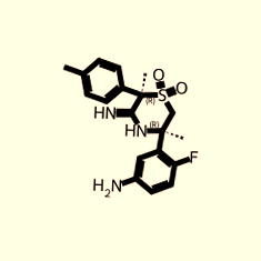 Cc1ccc([C@]2(C)C(=N)N[C@](C)(c3cc(N)ccc3F)CS2(=O)=O)cc1